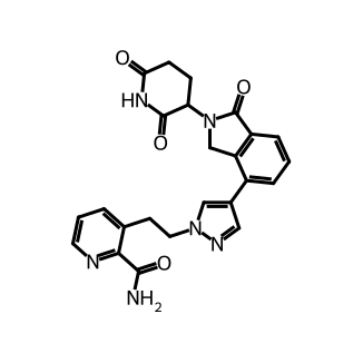 NC(=O)c1ncccc1CCn1cc(-c2cccc3c2CN(C2CCC(=O)NC2=O)C3=O)cn1